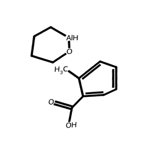 C1C[CH2][AlH][O]C1.Cc1ccccc1C(=O)O